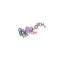 COc1ccc(C[C@H](N)[C@H](O)C(=O)N2CSC(C)(C)C2C(=O)NCc2ccccc2C)cc1